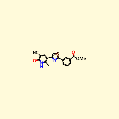 COC(=O)c1cccc(-c2nc(-c3cc(C#N)c(=O)[nH]c3C)cs2)c1